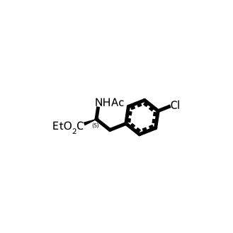 CCOC(=O)[C@H](Cc1ccc(Cl)cc1)NC(C)=O